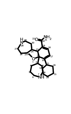 COC1(C2CCCNCC2)C(C2CCCCC2)=CC=C(C(N)=O)C1C1CCCNCC1